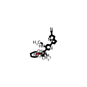 CCNc1cc(-c2ccc3cc(C#N)cnn23)ncc1-c1nnc(N2CC3CCC(C2)N3C(=O)OC(C)(C)C)s1